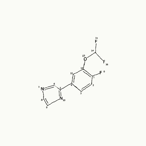 Fc1ccc(-c2cnccn2)cc1OC(F)F